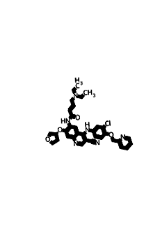 CCN(CC)CC=CC(=O)Nc1cc2c(Nc3ccc(OCc4ccccn4)c(Cl)c3)c(C#N)cnc2cc1O[C@H]1CCOC1